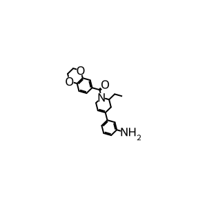 CCC1CC(c2cccc(N)c2)=CCN1C(=O)c1ccc2c(c1)OCCO2